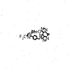 COc1ncnc(C2CC2)c1-c1nn(Cc2ccc(-c3nc(C(F)(F)F)cn3C(C)C)cc2)c2ncncc12